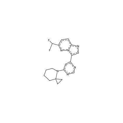 FC(F)c1ccc2ncc(-c3cc(N4CCCCC45CC5)ncn3)n2n1